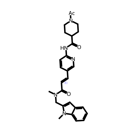 CC(=O)N1CCC(C(=O)Nc2ccc(/C=C/C(=O)N(C)Cc3cc4ccccc4n3C)cn2)CC1